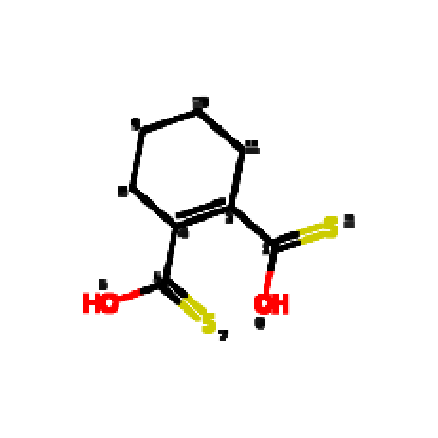 OC(=S)C1=C(C(O)=S)CCCC1